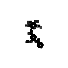 COc1cc(C(=O)OC[C@H]2OC(C)[C@H](O)[C@@H](O)[C@@H]2O)ccc1OC(=O)c1ccccc1